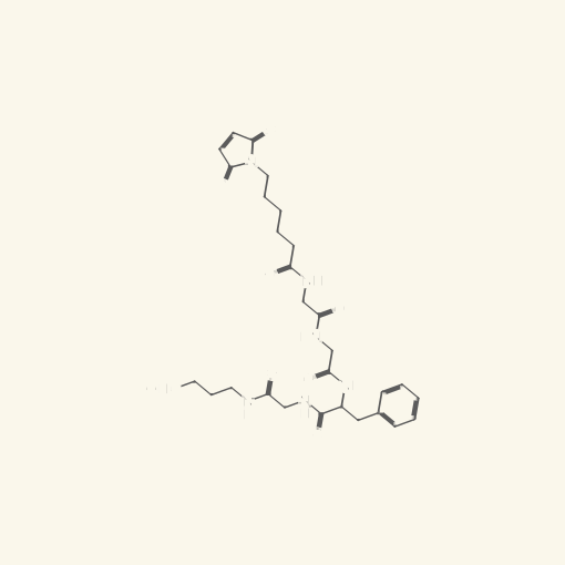 O=CCCCNC(=O)CNC(=O)C(Cc1ccccc1)NC(=O)CNC(=O)CNC(=O)CCCCCN1C(=O)C=CC1=O